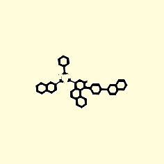 c1ccc(-c2nc(-c3ccc4ccccc4c3)nc(-c3cc4oc5cc(-c6ccc7ccccc7c6)ccc5c4c4c3ccc3ccccc34)n2)cc1